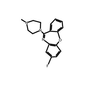 CN1CCN(C2=Nc3cc(F)ccc3Oc3ccccc32)CC1